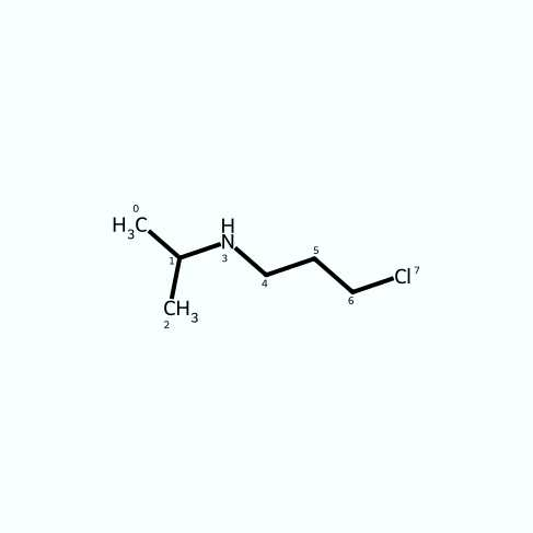 CC(C)NCCCCl